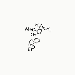 CCOc1nccc2c(C(=O)c3ccc([C@@H](C)N)cc3OC)cccc12